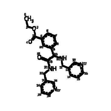 CCOC(=O)c1cccc(C(NCc2cccnc2)C(=O)NCc2cccnc2)c1